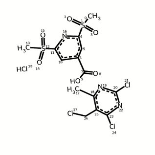 CS(=O)(=O)c1cc(C(=O)O)cc(S(C)(=O)=O)n1.Cc1nc(Cl)nc(Cl)c1CCl.Cl